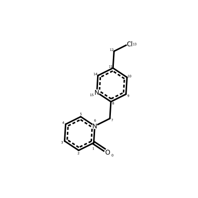 O=c1ccccn1Cc1ccc(CCl)cn1